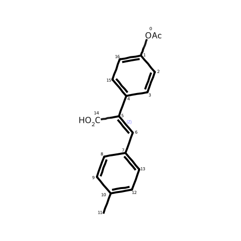 CC(=O)Oc1ccc(/C(=C/c2ccc(C)cc2)C(=O)O)cc1